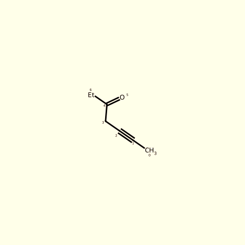 CC#CCC(=O)CC